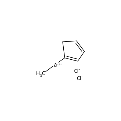 [CH3][Zr+2][C]1=CC=CC1.[Cl-].[Cl-]